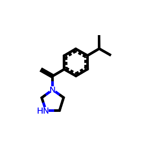 C=C(c1ccc(C(C)C)cc1)N1CCNC1